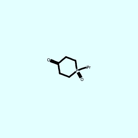 CC(C)P1(=O)CCC(=O)CC1